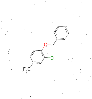 FC(F)(F)c1ccc(OCc2ccccc2)c(Cl)c1